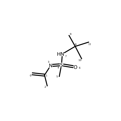 C=C(C)N=S(C)(=O)NC(C)(C)C